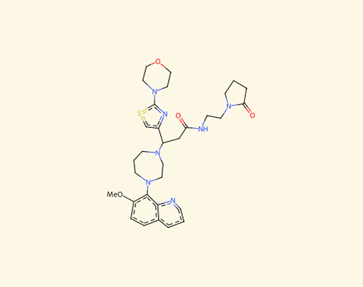 COc1ccc2cccnc2c1N1CCCN(C(CC(=O)NCCN2CCCC2=O)c2csc(N3CCOCC3)n2)CC1